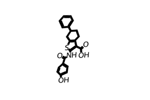 O=C(Nc1sc2c(c1C(=O)O)CCC(c1ccccc1)C2)c1ccc(O)cc1